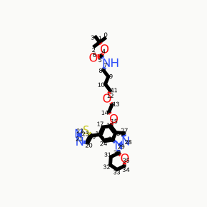 CC(C)(C)OC(=O)NCCCCOCCOc1cc(-c2cnns2)cc2c1cnn2C1CCCCO1